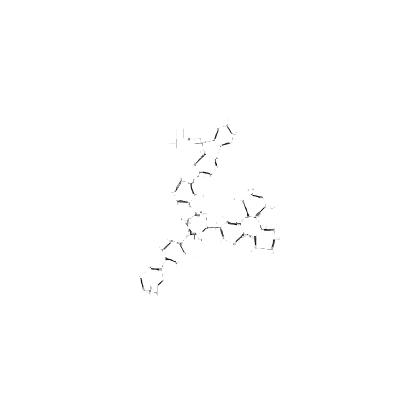 CC1(C)c2ccccc2-c2ccc(-c3cccc(-c4nc(-c5ccc(-c6cccnc6)cc5)nc(-c5ccc6c7ccccc7c7ccccc7c6c5)n4)c3)cc21